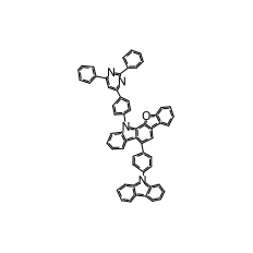 c1ccc(-c2cc(-c3ccc(-n4c5ccccc5c5c(-c6ccc(-n7c8ccccc8c8ccccc87)cc6)cc6c7ccccc7oc6c54)cc3)nc(-c3ccccc3)n2)cc1